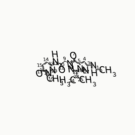 CCNc1cc2c(=O)n(CC(=O)Nc3ccc(=O)n(C)n3)nc(C(C)C)n2n1